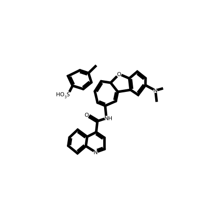 CN(C)c1ccc2c(c1)C1=CC(NC(=O)c3ccnc4ccccc34)=CC=CC1O2.Cc1ccc(S(=O)(=O)O)cc1